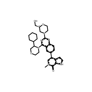 Cn1cc(-c2ccc3nc(N4CCO[C@H](CO)C4)nc(N4CCOCC4C4CCCCC4)c3c2)c2cc[nH]c2c1=O